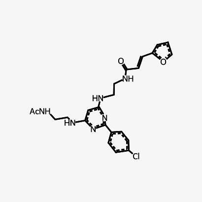 CC(=O)NCCNc1cc(NCCNC(=O)/C=C/c2ccco2)nc(-c2ccc(Cl)cc2)n1